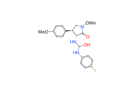 COc1ccc([C@H]2CN(OC)C(=O)[C@@H]2NC(O)Nc2ccc(F)cc2)cc1